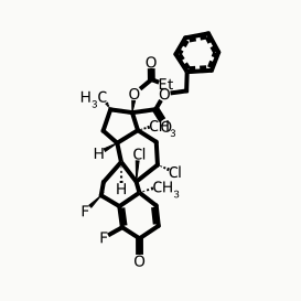 CCC(=O)O[C@]1(C(=O)OCc2ccccc2)[C@@H](C)C[C@H]2[C@@H]3C[C@H](F)C4=C(F)C(=O)C=C[C@]4(C)[C@@]3(Cl)[C@@H](Cl)C[C@@]21C